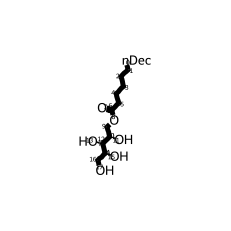 CCCCCCCCCCCCCCCC(=O)OC[C@H](O)[C@@H](O)[C@H](O)CO